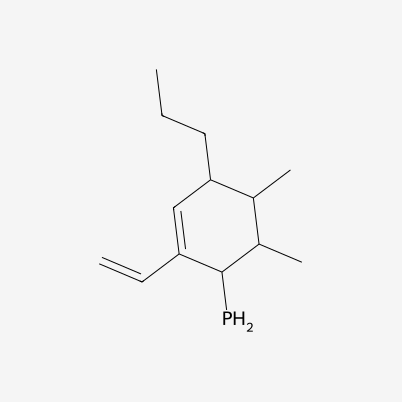 C=CC1=CC(CCC)C(C)C(C)C1P